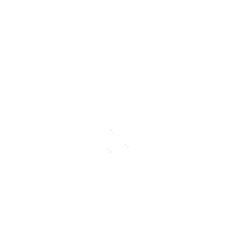 CC1(C)c2ccccc2-c2c1ccc1c2Oc2c(cccc2-c2ccc(-c3nc(-c4ccccc4)nc(-c4cccc5ccccc45)n3)cc2)O1